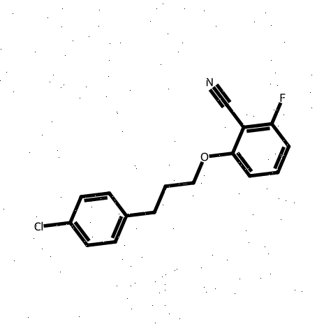 N#Cc1c(F)cccc1OCCCc1ccc(Cl)cc1